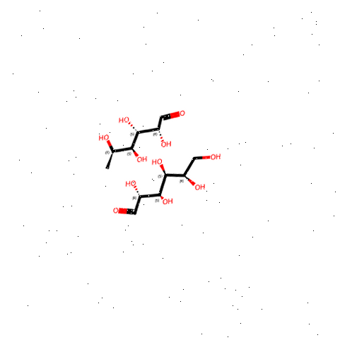 C[C@@H](O)[C@H](O)[C@H](O)[C@@H](O)C=O.O=C[C@H](O)[C@@H](O)[C@@H](O)[C@H](O)CO